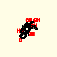 C[C@]12C[C@H](O)[C@H]3[C@@H](CCC4=CC(=O)CC[C@]43CO)[C@@H]1C[C@@H](O)[C@]2(O)C(=O)CO